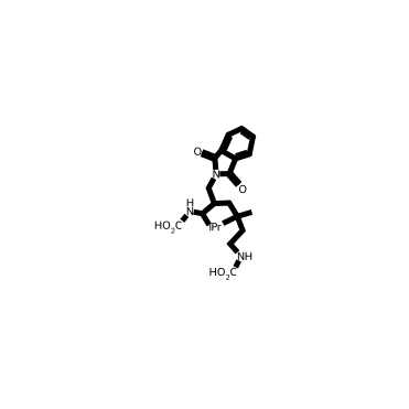 CC(C)C(NC(=O)O)C(CN1C(=O)c2ccccc2C1=O)CC(C)(C)CCNC(=O)O